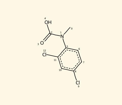 CN(C(=O)O)c1ccc(Cl)cc1Cl